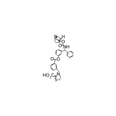 O=C(NC(c1ccccc1)c1cccc(OC(=O)c2cccc(CN3CCS[C@H]3C(=O)O)c2)c1)O[C@H]1CN2CCC1CC2